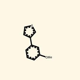 COc1cccc(-c2c[c]sc2)c1